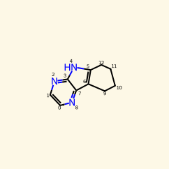 [c]1cnc2[nH]c3c(c2n1)CCCC3